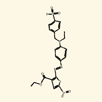 CCOC(=O)c1cc([N+](=O)[O-])sc1/N=N/c1ccc(N(CC)Cc2ccc(S(=O)(=O)F)cc2)cc1